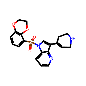 O=S(=O)(c1cccc2c1OCCO2)n1cc(C2=CCNCC2)c2ncccc21